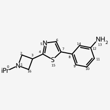 CC(C)N1CC(c2ncc(-c3cccc(N)c3)s2)C1